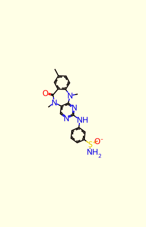 Cc1ccc2c(c1)C(=O)N(C)c1cnc(Nc3cccc([S+](N)[O-])c3)nc1N2C